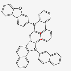 c1ccc(-c2ccccc2N(c2ccc3c(c2)oc2ccccc23)c2ccc3c(c2)c2ccc4ccccc4c2n3-c2ccc3ccccc3c2)cc1